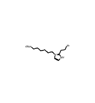 CCCCCCCCCCCCCCC[n+]1cc[nH]c1CCC(C)C